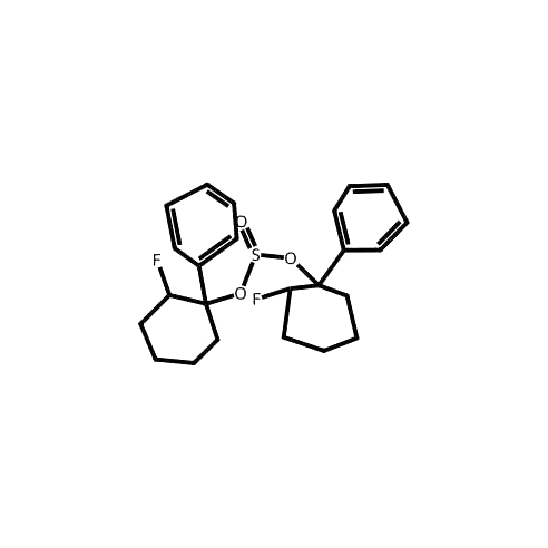 O=S(OC1(c2ccccc2)CCCCC1F)OC1(c2ccccc2)CCCCC1F